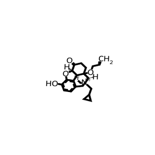 C=CCOC12CCC(=O)[C@@H]3Oc4c(O)ccc5c4[C@@]31CCN(CC1CC1)[C@@H]2C5